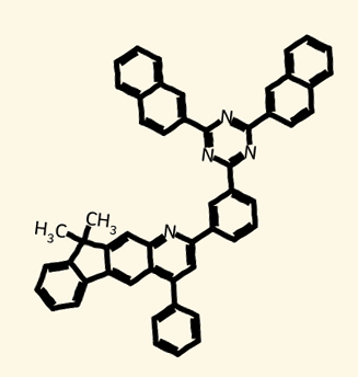 CC1(C)c2ccccc2-c2cc3c(-c4ccccc4)cc(-c4cccc(-c5nc(-c6ccc7ccccc7c6)nc(-c6ccc7ccccc7c6)n5)c4)nc3cc21